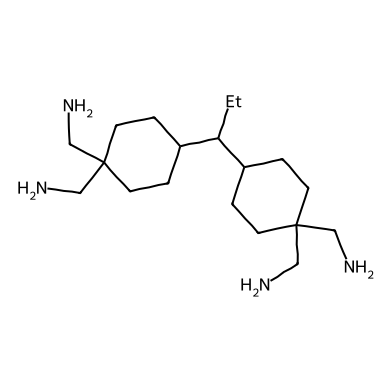 CCC(C1CCC(CN)(CN)CC1)C1CCC(CN)(CN)CC1